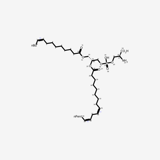 CCCC/C=C\CCCCCCCC(=O)OC[C@H](COP(=O)(O)OC[C@H](N)C(=O)O)OC(=O)CCCCCCC/C=C\C/C=C\CCCCC